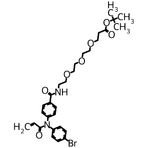 C=CC(=O)N(c1ccc(Br)cc1)c1ccc(C(=O)NCCOCCOCCOCCC(=O)OC(C)(C)C)cc1